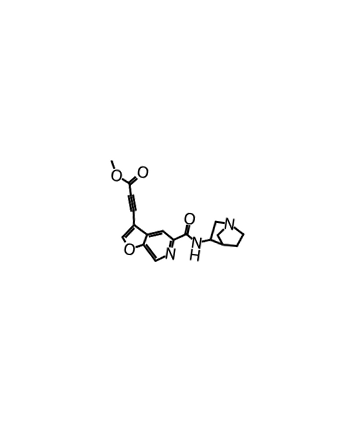 COC(=O)C#Cc1coc2cnc(C(=O)NC3CN4CCC3C4)cc12